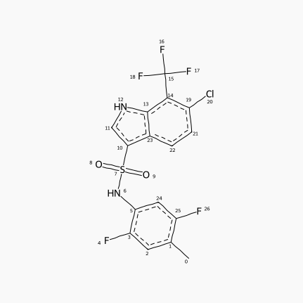 Cc1cc(F)c(NS(=O)(=O)c2c[nH]c3c(C(F)(F)F)c(Cl)ccc23)cc1F